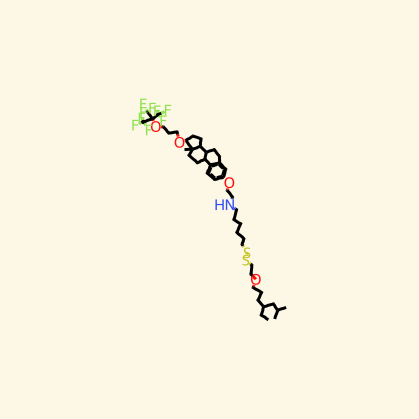 CCC(CCCOCCSSCCCCCCNCCOc1ccc2c(c1)CCC1C2CCC2(C)C(OCCCOC(C(F)(F)F)(C(F)(F)F)C(F)(F)F)CCC12)CC(C)C